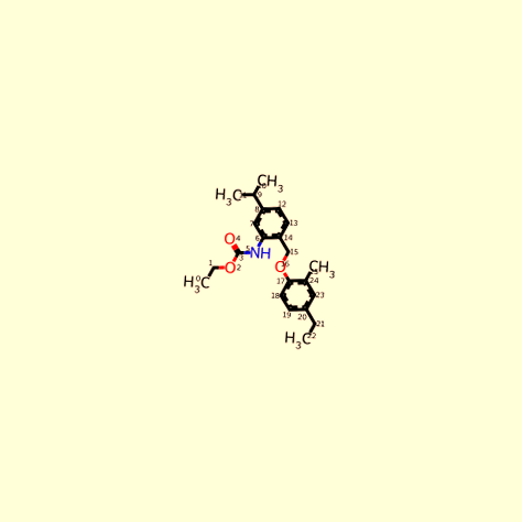 CCOC(=O)Nc1cc(C(C)C)ccc1COc1ccc(CC)cc1C